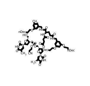 CCCCCCCCCCCCOc1cc(C)cc(CNC(=O)C(CCC(=O)NCc2cc(OCCCCCCCCCCCC)cc(OCCCCCCCCCCCC)c2)NC(=O)CCC(=O)O[C@@H]2C[C@H](n3cc(C)c(=O)[nH]c3=O)O[C@@H]2COP(=O)(OCCC#N)O[C@@H]2C[C@H](n3cc(C)c(=O)[nH]c3=O)O[C@@H]2CO)c1